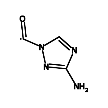 Nc1ncn([C]=O)n1